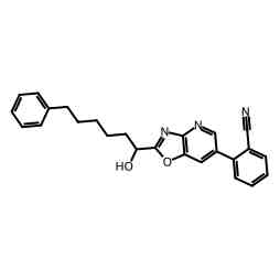 N#Cc1ccccc1-c1cnc2nc(C(O)CCCCCc3ccccc3)oc2c1